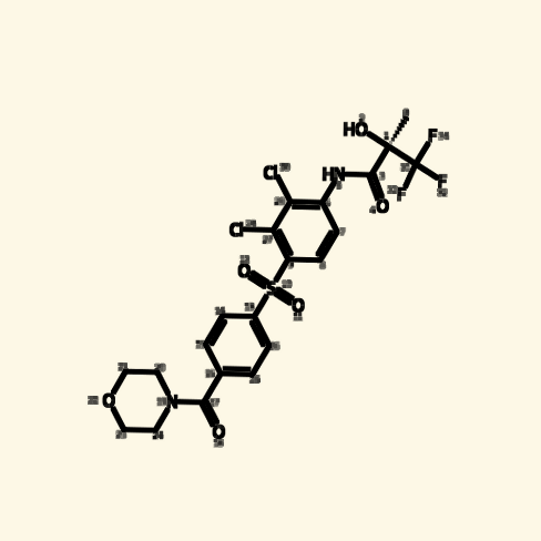 C[C@@](O)(C(=O)Nc1ccc(S(=O)(=O)c2ccc(C(=O)N3CCOCC3)cc2)c(Cl)c1Cl)C(F)(F)F